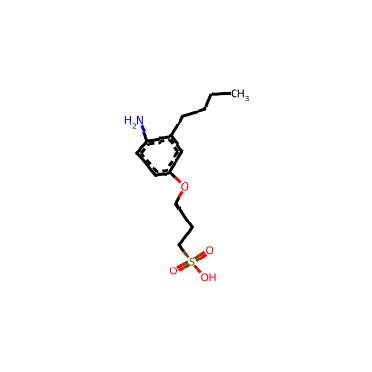 CCCCc1cc(OCCCS(=O)(=O)O)ccc1N